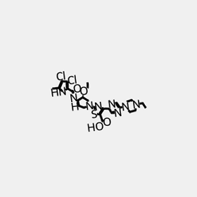 CCO[C@H]1CN(c2nc(-c3cnc(N4CCN(CC)CC4)cn3)c(C(=O)O)s2)CC[C@H]1NC(=O)c1[nH]c(C)c(Cl)c1Cl